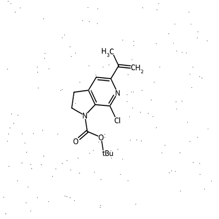 C=C(C)c1cc2c(c(Cl)n1)N(C(=O)OC(C)(C)C)CC2